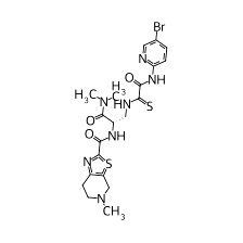 CN1CCc2nc(C(=O)N[C@@H](CNC(=S)C(=O)Nc3ccc(Br)cn3)C(=O)N(C)C)sc2C1